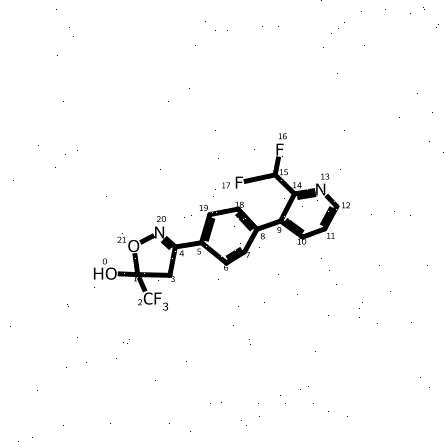 OC1(C(F)(F)F)CC(c2ccc(-c3cccnc3C(F)F)cc2)=NO1